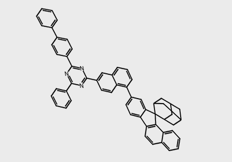 c1ccc(-c2ccc(-c3nc(-c4ccccc4)nc(-c4ccc5c(-c6ccc7c(c6)C6(c8c-7ccc7ccccc87)C7CC8CC(C7)CC6C8)cccc5c4)n3)cc2)cc1